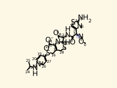 CO/N=C(\C(=O)N[C@@H]1C(=O)N2C(C(=O)[O-])=C(CSc3cc[n+](NC(C)C)cc3)CS[C@H]12)c1csc(N)n1